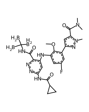 BC(B)(B)NC(=O)c1nnc(NC(=O)C2CC2)cc1Nc1cc(F)cc(-c2cc(C(=O)N(C)C)n(C)n2)c1OC